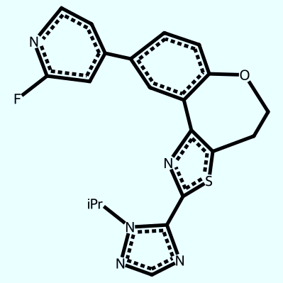 CC(C)n1ncnc1-c1nc2c(s1)CCOc1ccc(-c3ccnc(F)c3)cc1-2